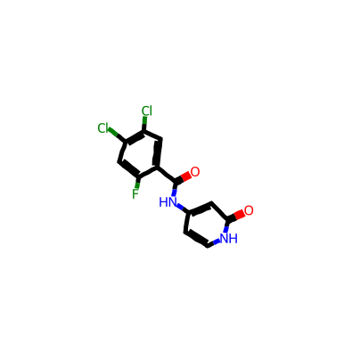 O=C(Nc1cc[nH]c(=O)c1)c1cc(Cl)c(Cl)cc1F